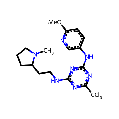 COc1ccc(Nc2nc(NCCC3CCCN3C)nc(C(Cl)(Cl)Cl)n2)cn1